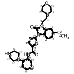 COc1ccc2c(c1)n(CCN1CCOCC1)c(=O)n2-c1nc(C(=O)Nc2cnccc2N2CCNCC2)cs1